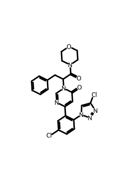 O=C(C(Cc1ccccc1)n1cnc(-c2cc(Cl)ccc2-n2cc(Cl)nn2)cc1=O)N1CCOCC1